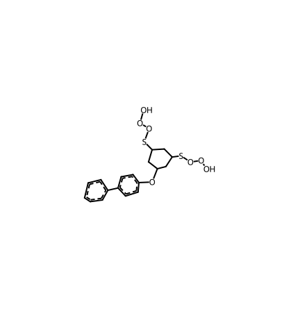 OOOSC1CC(Oc2ccc(-c3ccccc3)cc2)CC(SOOO)C1